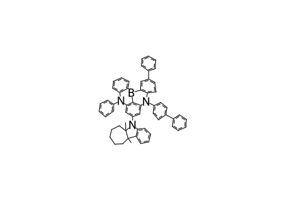 CC12CCCCCC1(C)N(c1cc3c4c(c1)N(c1ccc(-c5ccccc5)cc1)c1ccc(-c5ccccc5)cc1B4c1ccccc1N3c1ccccc1)c1ccccc12